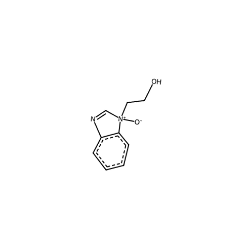 [O-][N+]1(CCO)C=Nc2ccccc21